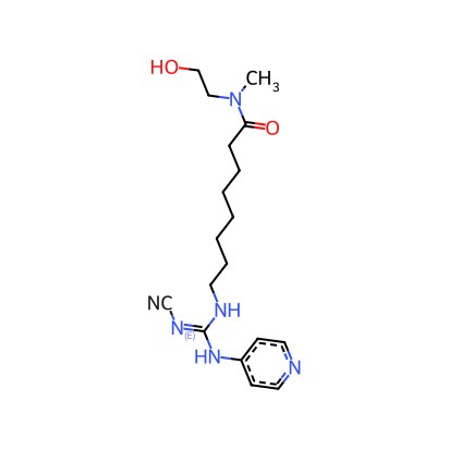 CN(CCO)C(=O)CCCCCCCN/C(=N\C#N)Nc1ccncc1